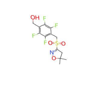 CC1(C)CC(S(=O)(=O)Cc2c(F)c(F)c(CO)c(F)c2F)=NO1